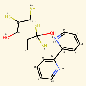 CCC(O)(S)S.OCC(S)CS.c1ccc(-c2ccccn2)nc1